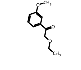 CCOCC(=O)c1cccc(OC)c1